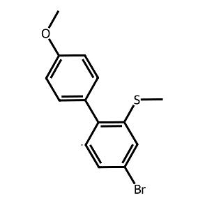 COc1ccc(-c2[c]cc(Br)cc2SC)cc1